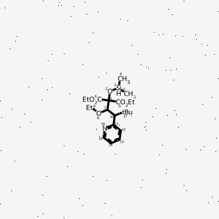 CCOC(=O)C(O[SiH](C)C)(C(=O)OCC)C(OCC)C(c1ccccn1)C(C)(C)C